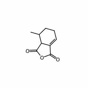 CC1CCC=C2C(=O)OC(=O)C21